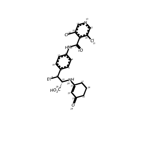 CCC(c1ccc(NC(=O)c2c(Cl)cncc2Cl)cc1)[C@H](NC1=CC(=O)CCC1)C(=O)O